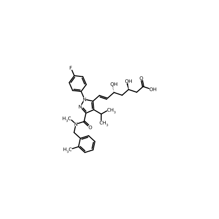 Cc1ccccc1CN(C)C(=O)c1nn(-c2ccc(F)cc2)c(C=C[C@H](O)C[C@@H](O)CC(=O)O)c1C(C)C